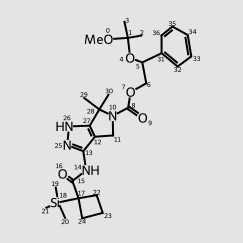 COC(C)(C)OC(COC(=O)N1Cc2c(NC(=O)C3([Si](C)(C)C)CCC3)n[nH]c2C1(C)C)c1ccccc1